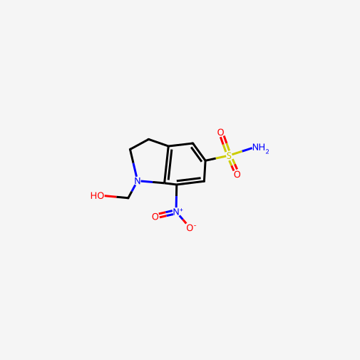 NS(=O)(=O)c1cc2c(c([N+](=O)[O-])c1)N(CO)CC2